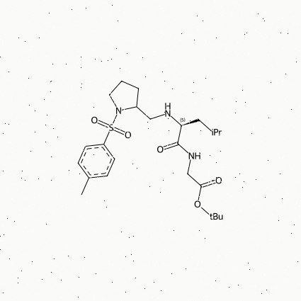 Cc1ccc(S(=O)(=O)N2CCCC2CN[C@@H](CC(C)C)C(=O)NCC(=O)OC(C)(C)C)cc1